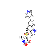 C[C@@](C[C@@H]1CN=C(c2ccc(-c3ccncc3)cc2)C1)(C(=O)NO)S(C)(=O)=O